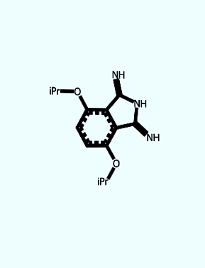 CC(C)Oc1ccc(OC(C)C)c2c1C(=N)NC2=N